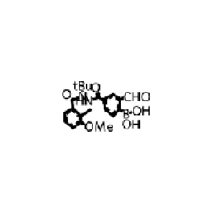 COc1cccc(C(=O)N(NC(=O)c2ccc(B(O)O)c(C=O)c2)C(C)(C)C)c1C